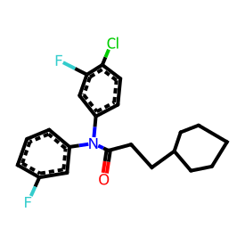 O=C(CCC1CCCCC1)N(c1cccc(F)c1)c1ccc(Cl)c(F)c1